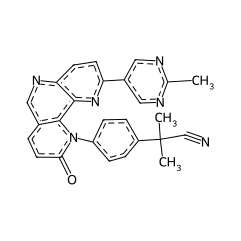 Cc1ncc(-c2ccc3ncc4ccc(=O)n(-c5ccc(C(C)(C)C#N)cc5)c4c3n2)cn1